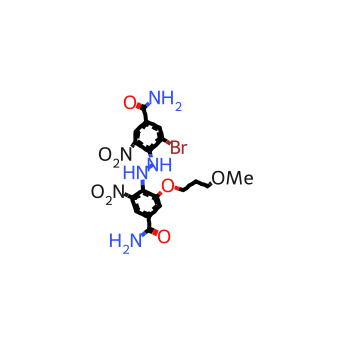 COCCCOc1cc(C(N)=O)cc([N+](=O)[O-])c1NNc1c(Br)cc(C(N)=O)cc1[N+](=O)[O-]